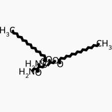 CCCCCCCCCCCCCCCC(=O)OCC(CSCC(N)C(=O)CN)OC(=O)CCCCCCCCCCCCCCC